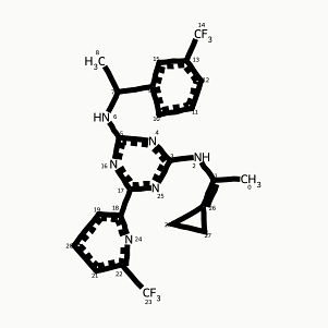 CC(Nc1nc(NC(C)c2cccc(C(F)(F)F)c2)nc(-c2cccc(C(F)(F)F)n2)n1)=C1CC1